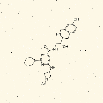 CC(=O)N1CC(Nc2cc(C(=O)NC[C@@H](O)[C@@H]3Cc4ccc(O)cc4CN3)cc(N3CCCCC3)n2)C1